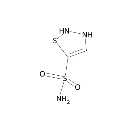 NS(=O)(=O)C1=CNNS1